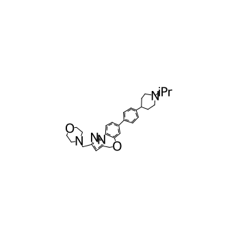 CC(C)N1CCC(c2ccc(-c3ccc4c(c3)OCc3cc(CN5CCOCC5)nn3-4)cc2)CC1